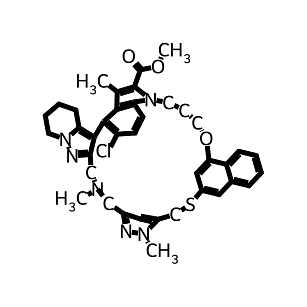 COC(=O)c1c(C)c2c3c(Cl)ccc2n1CCCOc1cc(cc2ccccc12)SCc1cc(nn1C)CN(C)Cc1nn2c(c1-3)CCCC2